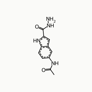 CC(=O)Nc1ccc2[nH]c(C(=O)NN)cc2c1